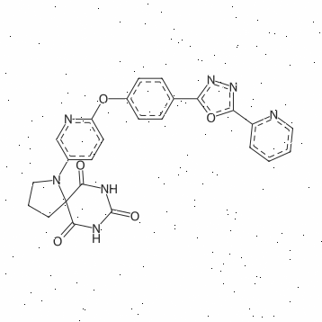 O=C1NC(=O)C2(CCCN2c2ccc(Oc3ccc(-c4nnc(-c5ccccn5)o4)cc3)nc2)C(=O)N1